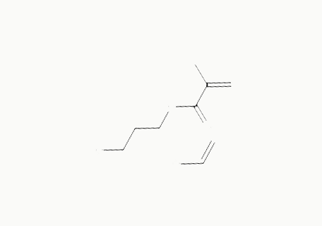 C=C(C)C(=O)OCCCO.C=CCl